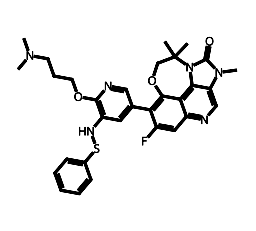 CN(C)CCCOc1ncc(-c2c(F)cc3ncc4c5c3c2OCC(C)(C)n5c(=O)n4C)cc1NSc1ccccc1